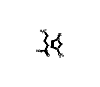 CCCCC(=O)O.CCN1C=CN(C)C1